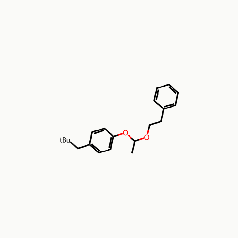 CC(OCCc1ccccc1)Oc1ccc(CC(C)(C)C)cc1